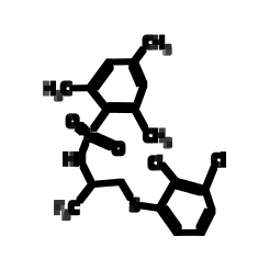 Cc1cc(C)c(S(=O)(=O)NC(CSc2cccc(Cl)c2Cl)C(F)(F)F)c(C)c1